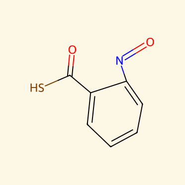 O=Nc1ccccc1C(=O)S